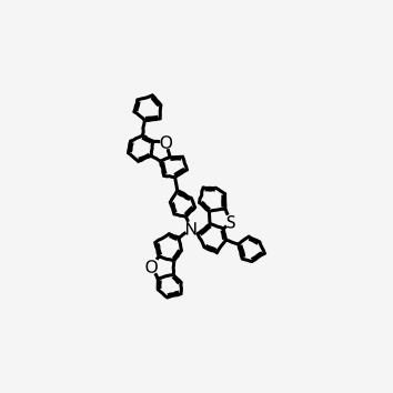 c1ccc(-c2cccc3c2oc2ccc(-c4ccc(N(c5ccc6oc7ccccc7c6c5)c5ccc(-c6ccccc6)c6sc7ccccc7c56)cc4)cc23)cc1